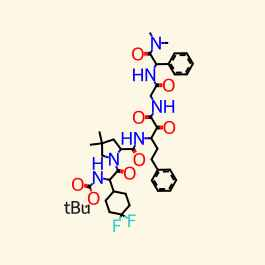 CN(C)C(=O)C(NC(=O)CNC(=O)C(=O)C(CCc1ccccc1)NC(=O)C1CC(C)(C)CN1C(=O)C(NC(=O)OC(C)(C)C)C1CCC(F)(F)CC1)c1ccccc1